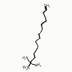 C=CCCCCCCCCCCC(N)(N)N